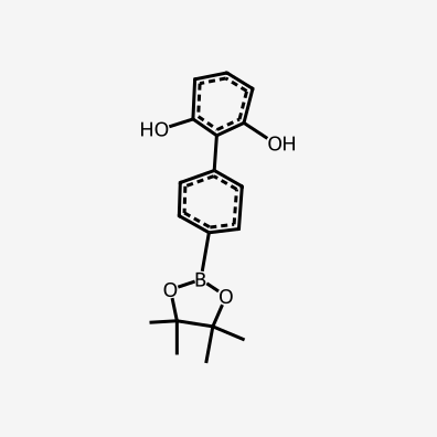 CC1(C)OB(c2ccc(-c3c(O)cccc3O)cc2)OC1(C)C